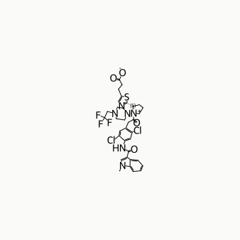 COC(=O)CCc1cnc([C@@H]2CCC[N+]2(C(=O)Cc2cc(Cl)c(NC(=O)c3cn(C)c4ccccc34)cc2Cl)N2CCN(CC(F)(F)F)CC2)s1